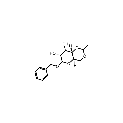 CC1OC[C@H]2O[C@@H](OCc3ccccc3)[C@H](O)[C@@H](O)[C@@H]2O1